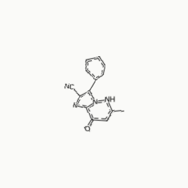 Cc1cc(=O)c2nc(C#N)c(-c3ccccc3)n2[nH]1